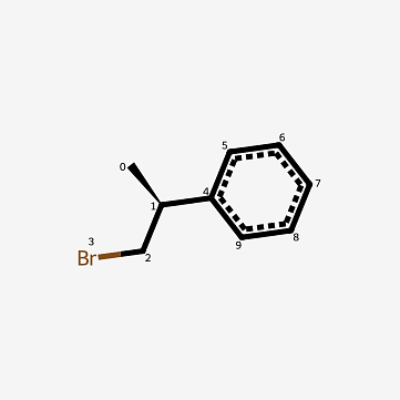 C[C@H](CBr)c1ccccc1